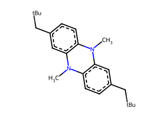 CN1c2ccc(CC(C)(C)C)cc2N(C)c2ccc(CC(C)(C)C)cc21